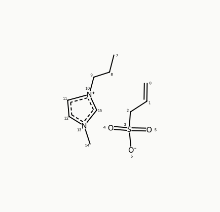 C=CCS(=O)(=O)[O-].CCC[n+]1ccn(C)c1